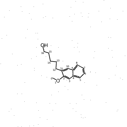 COc1cc2ccccc2cc1CCCCCO